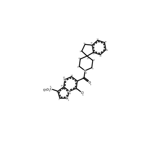 CCOC(=O)c1cnn2c(Cl)c(C(=O)N3CCC4(CCc5ccccc54)CC3)cnc12